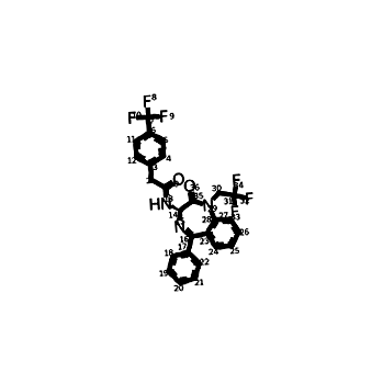 O=C(Cc1ccc(C(F)(F)F)cc1)N[C@@H]1N=C(c2ccccc2)c2ccccc2N(CC(F)(F)F)C1=O